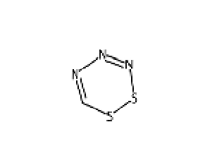 C1=NN=NSS1